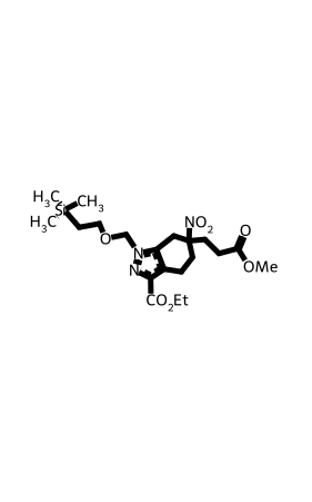 CCOC(=O)c1nn(COCC[Si](C)(C)C)c2c1CCC(CCC(=O)OC)([N+](=O)[O-])C2